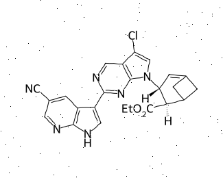 CCOC(=O)[C@@H]1C2CC(=C[C@H]1n1cc(Cl)c3cnc(-c4c[nH]c5ncc(C#N)cc45)nc31)C2